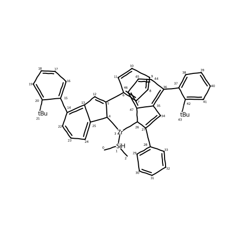 C[SiH](C)[Zr]([CH]1C(c2ccccc2)=Cc2c(-c3ccccc3C(C)(C)C)cccc21)[CH]1C(c2ccccc2)=Cc2c(-c3ccccc3C(C)(C)C)cccc21